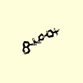 O=C(Nc1cccc2cnccc12)NC1CCN(c2ccc(C(F)(F)F)cn2)C1